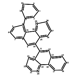 c1ccc(-c2cccc3cc(-c4cc5ccccc5c5ncccc45)c4cccnc4c23)cc1